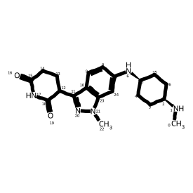 CN[C@H]1CC[C@@H](Nc2ccc3c(C4CCC(=O)NC4=O)nn(C)c3c2)CC1